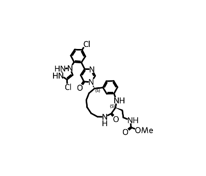 COC(=O)NCC[C@@H]1Nc2cccc(c2)[C@@H](n2cnc(-c3cc(Cl)ccc3N3C=C(Cl)NN3)cc2=O)CCCCCNC1=O